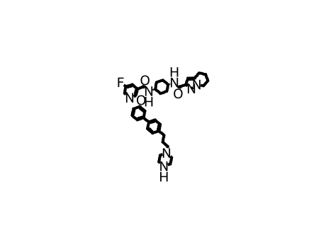 O=C(N[C@H]1CC[C@H](NC(=O)c2cc(F)cnc2Oc2cccc(-c3ccc(CCCN4CCNCC4)cc3)c2)CC1)c1cc2n(n1)CCCC2